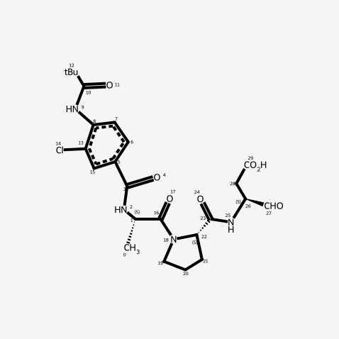 C[C@H](NC(=O)c1ccc(NC(=O)C(C)(C)C)c(Cl)c1)C(=O)N1CCC[C@H]1C(=O)N[C@H](C=O)CC(=O)O